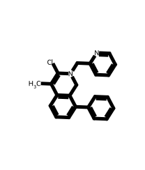 CC1=C(Cl)N(Cc2ccccn2)Cc2c1cccc2-c1ccccc1